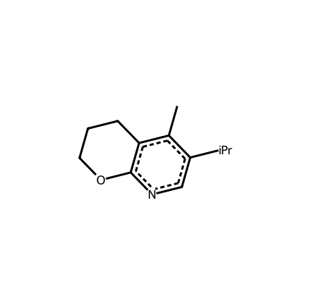 Cc1c(C(C)C)cnc2c1CCCO2